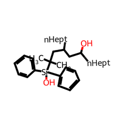 CCCCCCCC(O)CC(CCCCCCC)CC(C)(C)[Si](O)(c1ccccc1)c1ccccc1